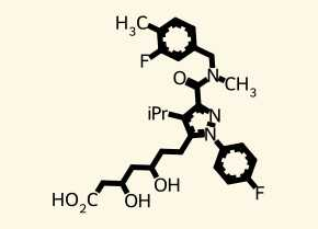 Cc1ccc(CN(C)C(=O)c2nn(-c3ccc(F)cc3)c(CCC(O)CC(O)CC(=O)O)c2C(C)C)cc1F